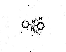 [N-]=[N+]=N[Si](N=[N+]=[N-])(c1ccccc1)c1ccccc1